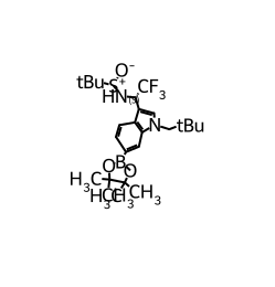 CC(C)(C)Cn1cc([C@H](N[S+]([O-])C(C)(C)C)C(F)(F)F)c2ccc(B3OC(C)(C)C(C)(C)O3)cc21